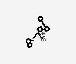 O=C(O)Oc1[nH]c2c(-c3ccccc3C#Cc3ccccc3)cccc2c1CCCOc1cccc2ccccc12